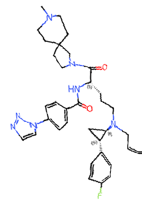 C=CCN(CCC[C@H](NC(=O)c1ccc(-n2ccnn2)cc1)C(=O)N1CCC2(CCN(C)CC2)C1)[C@@H]1C[C@H]1c1ccc(F)cc1